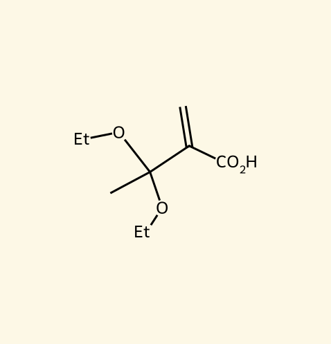 C=C(C(=O)O)C(C)(OCC)OCC